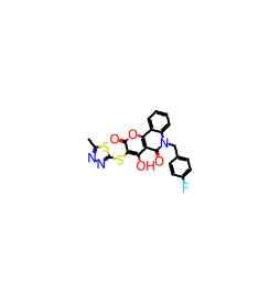 Cc1nnc(Sc2c(O)c3c(=O)n(Cc4ccc(F)cc4)c4ccccc4c3oc2=O)s1